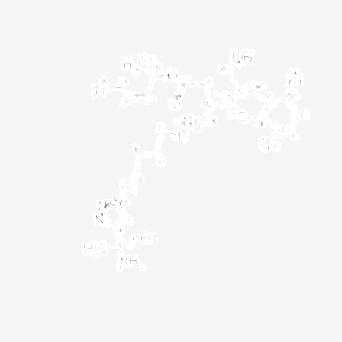 CCCCC(C)(N)c1cn(CCCCCO/N=C/C(CC(=O)OC(C)/C=C\CC(C)C)=C2\Sc3c(Cl)ccc(Cl)c3SC2CO)nn1